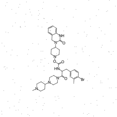 Cc1cc(CC(NC(=O)ON2CCC(N3Cc4ccccc4NC3=O)CC2)C(=O)N2CCN(C3CCN(C)CC3)CC2)ccc1Br